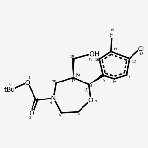 CC(C)(C)OC(=O)N1CCO[C@H](c2ccc(Cl)c(F)c2)[C@H](CO)C1